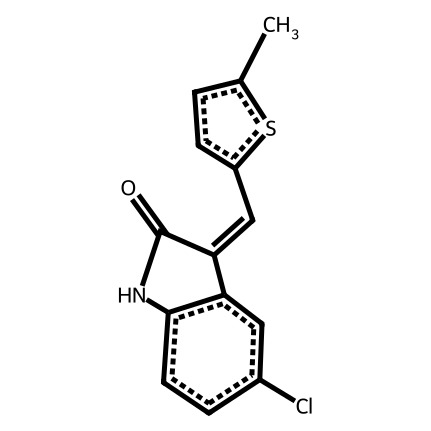 Cc1ccc(/C=C2\C(=O)Nc3ccc(Cl)cc32)s1